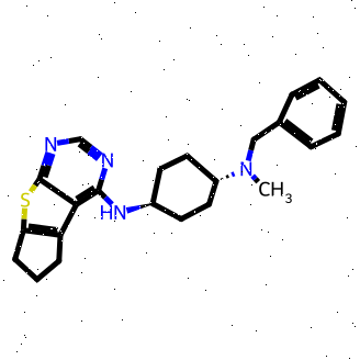 CN(Cc1ccccc1)[C@H]1CC[C@H](Nc2ncnc3sc4c(c23)CCC4)CC1